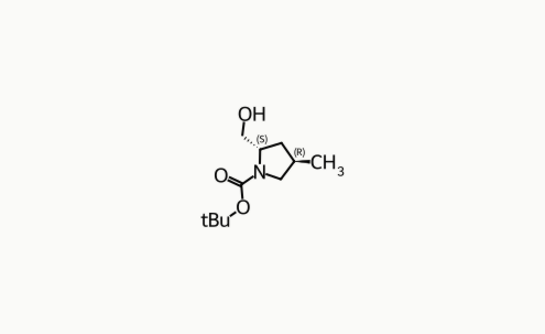 C[C@@H]1C[C@@H](CO)N(C(=O)OC(C)(C)C)C1